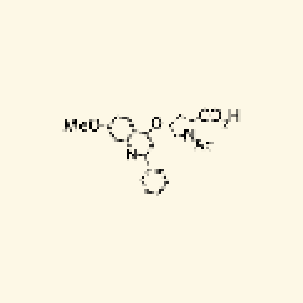 COc1ccc2c(OC3CC(C(=O)O)N(C(C)=O)C3)cc(-c3ccccc3)nc2c1